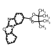 CC1(C)OB(c2ccc3nc4oc5ccccc5n4c3c2)OC1(C)C